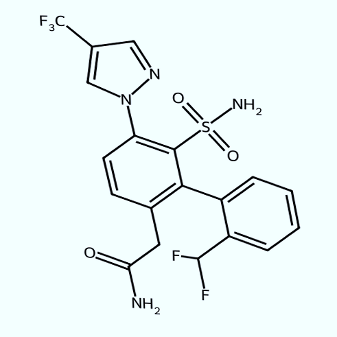 NC(=O)Cc1ccc(-n2cc(C(F)(F)F)cn2)c(S(N)(=O)=O)c1-c1ccccc1C(F)F